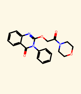 O=C(COc1nc2ccccc2c(=O)n1-c1ccccc1)N1CCOCC1